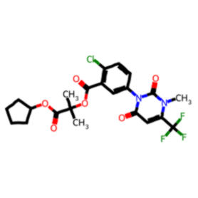 Cn1c(C(F)(F)F)cc(=O)n(-c2ccc(Cl)c(C(=O)OC(C)(C)C(=O)OC3CCCC3)c2)c1=O